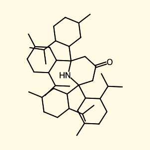 CC1CCC(C(C)C)C(C2(C3CC(C)CCC3C(C)C)CC(=O)CC(C3CC(C)CCC3C(C)C)(C3CC(C)CCC3C(C)C)N2)C1